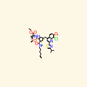 C=CCCCCN(C)C(=O)[C@@H]1C[C@H](Cc2cc(-c3nc(C(C)C)cs3)nc3c(Cl)c(OC)ccc23)C[C@H]1C(=O)N[C@]1(C(=O)OCC)C[C@H]1C=C